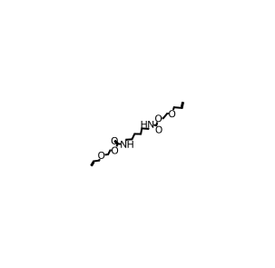 C=CCOCCOC(=O)NCCCCCCNC(=O)OCCOCC=C